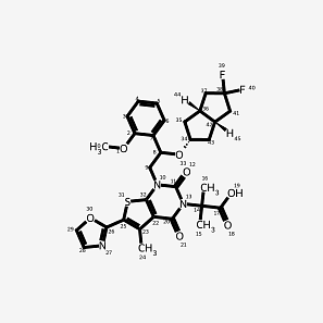 COc1ccccc1C(Cn1c(=O)n(C(C)(C)C(=O)O)c(=O)c2c(C)c(-c3ncco3)sc21)O[C@@H]1C[C@@H]2CC(F)(F)C[C@@H]2C1